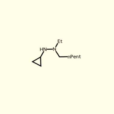 CCCCCCN(CC)NC1CC1